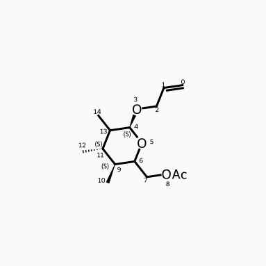 C=CCO[C@H]1OC(COC(C)=O)[C@@H](C)[C@H](C)C1C